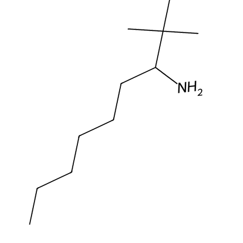 CCCCCCC(N)C(C)(C)C